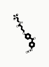 CS(=O)(=O)CCNC(=O)CCCOc1ccc(C(=O)c2ccc(N=C=O)cc2)cc1